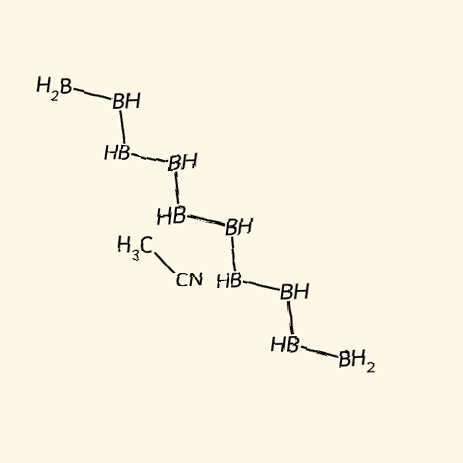 BBBBBBBBBB.CC#N